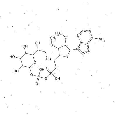 COC1C(COP(=O)(O)OP(=O)(O)OC2OC([C@H](O)CO)C(O)C(O)C2O)OC(n2cnc3c(N)ncnc32)C1OC